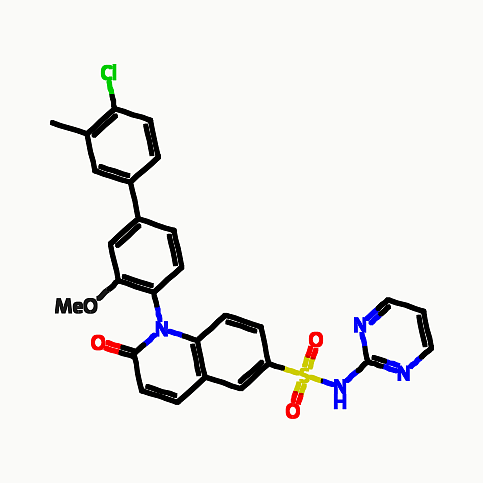 COc1cc(-c2ccc(Cl)c(C)c2)ccc1-n1c(=O)ccc2cc(S(=O)(=O)Nc3ncccn3)ccc21